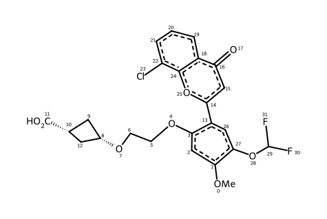 COc1cc(OCCO[C@H]2C[C@@H](C(=O)O)C2)c(-c2cc(=O)c3cccc(Cl)c3o2)cc1OC(F)F